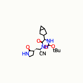 CC(C)(C)OC(=O)NC(C(=O)N[C@H](C#N)C[C@@H]1CCNC1=O)C1CC2CC2C1